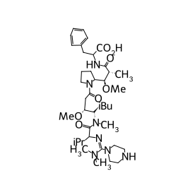 CC[C@H](C)[C@@H]([C@@H](CC(=O)N1CCCC1[C@H](OC)[C@@H](C)C(=O)NC(Cc1ccccc1)C(=O)O)OC)N(C)C(=O)C(N=C(N(C)C)N1CCNCC1)C(C)C